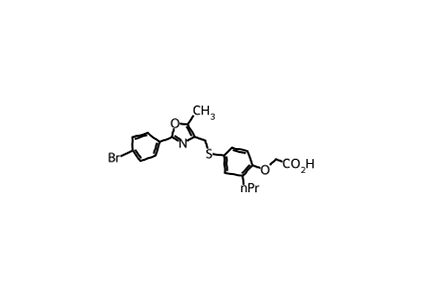 CCCc1cc(SCc2nc(-c3ccc(Br)cc3)oc2C)ccc1OCC(=O)O